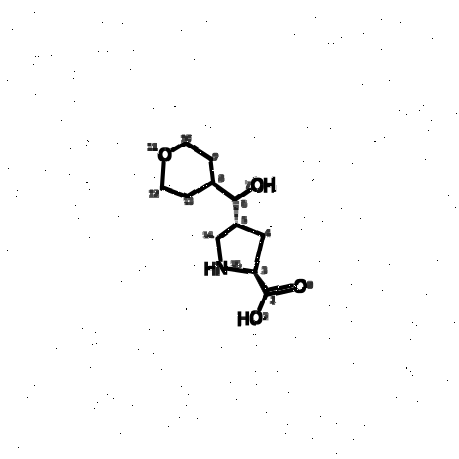 O=C(O)[C@@H]1C[C@@H](C(O)C2CCOCC2)CN1